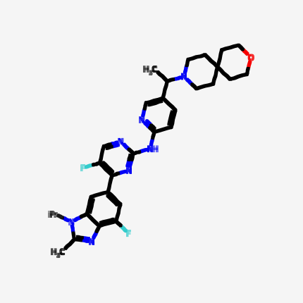 Cc1nc2c(F)cc(-c3nc(Nc4ccc(C(C)N5CCC6(CCOCC6)CC5)cn4)ncc3F)cc2n1C(C)C